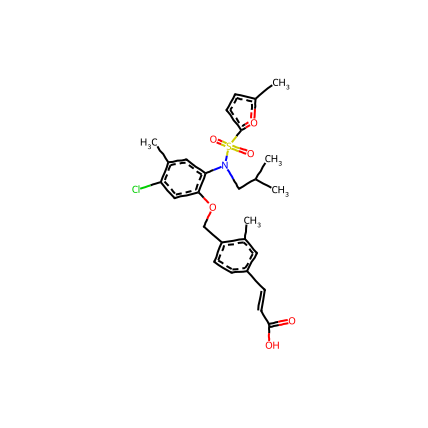 Cc1ccc(S(=O)(=O)N(CC(C)C)c2cc(C)c(Cl)cc2OCc2ccc(/C=C/C(=O)O)cc2C)o1